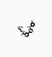 COCCCNC(=O)c1cc(-c2cncc(Nc3cccc(Cl)c3)n2)ccn1